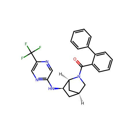 O=C(c1ccccc1-c1ccccc1)N1C[C@H]2C[C@@H](Nc3cnc(C(F)(F)F)cn3)[C@@H]1C2